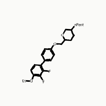 CCCCCC1CCC(COc2ccc(-c3ccc(OCC)c(F)c3F)cc2)OC1